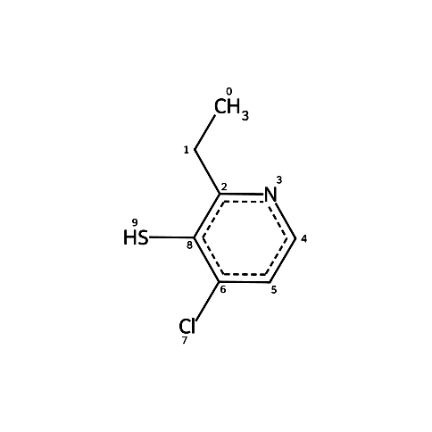 CCc1nccc(Cl)c1S